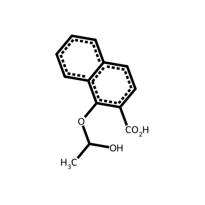 CC(O)Oc1c(C(=O)O)ccc2ccccc12